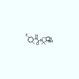 Cc1ccc(F)cc1NC(=O)N1Cc2cn[nH]c2C1(C)C